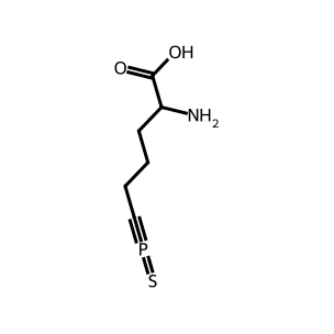 NC(CCCC#P=S)C(=O)O